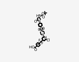 CC(C)(C)OC(=O)N[C@@H]1CC(=O)N(c2ccc(S(=O)(=O)N3CCN(c4cc(C(F)(F)C56CCC(C(=O)O)(CC5)CC6)cc(Cl)n4)CC3)cc2)C1